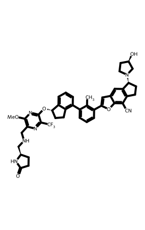 COc1nc(O[C@H]2CCc3c(-c4cccc(-c5cc6cc7c(c(C#N)c6o5)CC[C@H]7N5CC[C@@H](O)C5)c4C)cccc32)c(C(F)(F)F)nc1CNC[C@H]1CCC(=O)N1